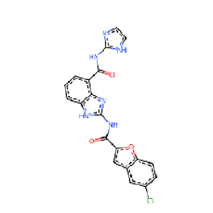 O=C(Nc1nc2c(C(=O)Nc3ncc[nH]3)cccc2[nH]1)c1cc2cc(Cl)ccc2o1